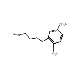 CCCCCCCCCCCCCc1cc(C(=O)O)ccc1C(=O)O